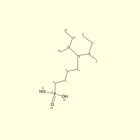 CCC(C)C(CCCCP(=O)(O)O)C(C)CC